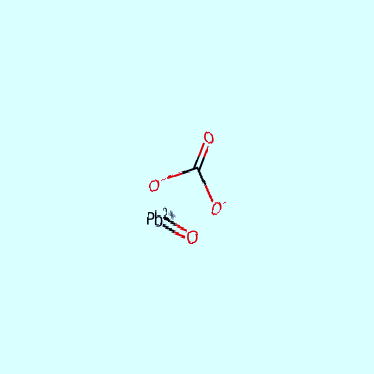 O=C([O-])[O-].[O]=[Pb+2]